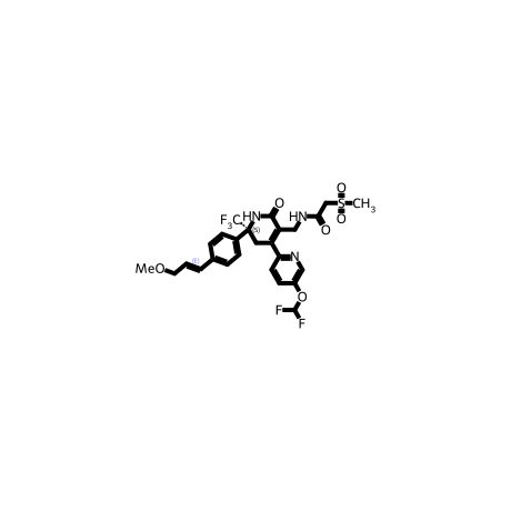 COC/C=C/c1ccc([C@]2(C(F)(F)F)CC(c3ccc(OC(F)F)cn3)=C(CNC(=O)CS(C)(=O)=O)C(=O)N2)cc1